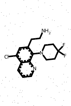 NCCc1cc(Cl)c2cccnc2c1N1CCC(F)(F)CC1